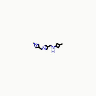 CC1CC(NCC2CN(CC3CN(C)C3)C2)C1